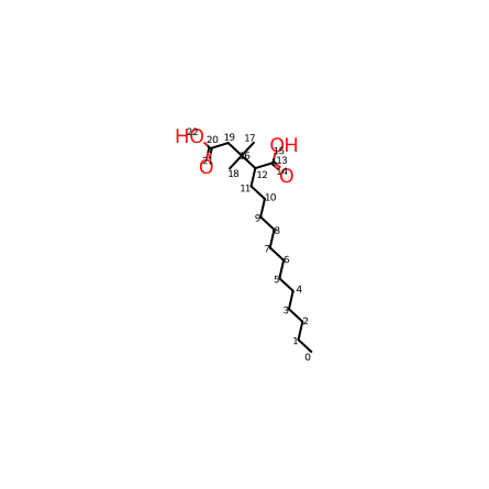 CCCCCCCCCCCCC(C(=O)O)C(C)(C)CC(=O)O